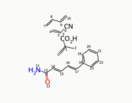 C=C(C)C(=O)O.C=CC#N.C=CC=C.NC(=O)C=CC=Cc1ccccc1